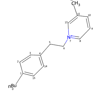 CCCCc1ccc(CC[n+]2cccc(C)c2)cc1